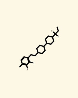 CCC(F)(F)C1CCC(C2CCC(CCc3ccc(C)c(F)c3F)CC2)CC1